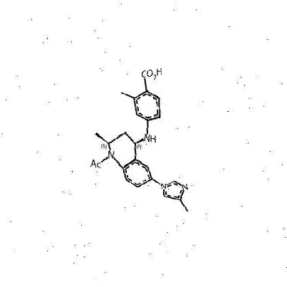 CC(=O)N1c2ccc(-n3cnc(C)c3)cc2[C@H](Nc2ccc(C(=O)O)c(C)c2)C[C@@H]1C